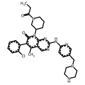 CCC(=O)N1CCCC(n2c(=O)c(-c3ccccc3Cl)c(C)c3cnc(Nc4ccc(CN5CCNCC5)cn4)nc32)C1